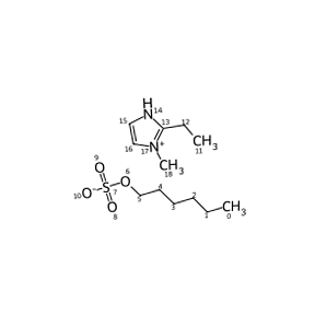 CCCCCCOS(=O)(=O)[O-].CCc1[nH]cc[n+]1C